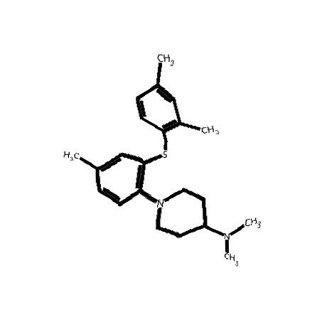 Cc1ccc(Sc2cc(C)ccc2N2CCC(N(C)C)CC2)c(C)c1